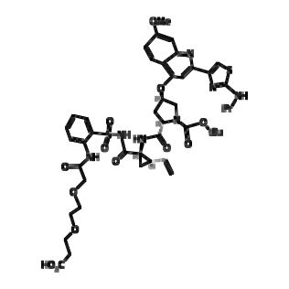 C=C[C@@H]1C[C@]1(NC(=O)[C@@H]1C[C@@H](Oc2cc(-c3csc(NC(C)C)n3)nc3cc(OC)ccc23)CN1C(=O)OC(C)(C)C)C(=O)NS(=O)(=O)c1ccccc1NC(=O)COCCOCCC(=O)O